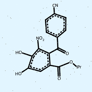 CC(C)OC(=O)c1cc(O)c(O)c([N+](=O)[O-])c1C(=O)c1ccc(C#N)cc1